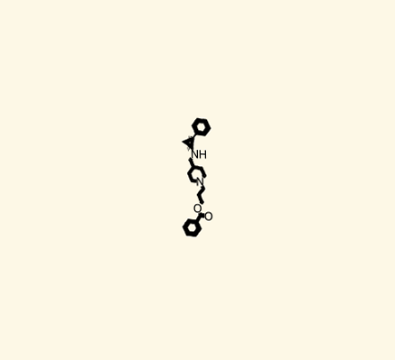 O=C(OCCCN1CCC(CN[C@@H]2C[C@H]2c2ccccc2)CC1)c1ccccc1